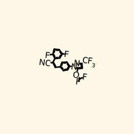 N#C/C(=C/c1ccc(-n2nc(C(F)(F)F)cc2OC(F)F)cc1)c1cc(F)ccc1F